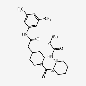 CC(C)(C)OC(=O)N[C@@H]1CCCC[C@H]1C(=O)N1CCC(CC(=O)Nc2cc(C(F)(F)F)cc(C(F)(F)F)c2)CC1